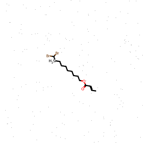 CC=CC(=O)OCCCCCCCC[SiH2]C(Br)Br